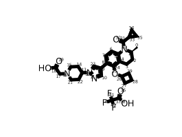 C[C@H]1CCc2c(ccc(-c3cnn(C4CCN(CC(=O)O)CC4)c3)c2OC2CCC2)N1C(=O)C1CC1.O=C(O)C(F)(F)F